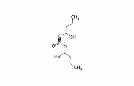 CCCC(S)O[PH](=O)OC(S)CCC